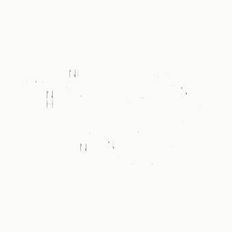 N=C(NO)c1ccc2c(c1)ncn2-c1cccc(-c2ccnc(Cl)c2F)c1